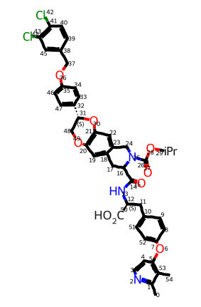 Cc1nccc(Oc2ccc(C[C@H](NC(=O)C3Cc4cc5c(cc4CN3C(=O)OC(C)C)O[C@@H](c3ccc(OCc4ccc(Cl)c(Cl)c4)cc3)CO5)C(=O)O)cc2)c1C